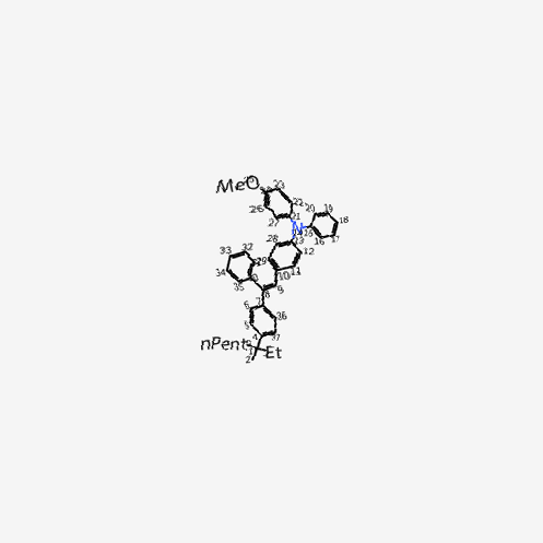 CCCCCC(C)(CC)c1ccc(/C(=C/c2ccc(N(c3ccccc3)c3ccc(OC)cc3)cc2)c2ccccc2)cc1